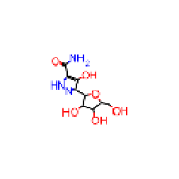 NC(=O)c1[nH]nc(C2OC(CO)C(O)C2O)c1O